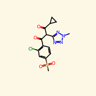 Cn1nnc(C(C(=O)c2ccc(S(C)(=O)=O)cc2Cl)C(=O)C2CC2)n1